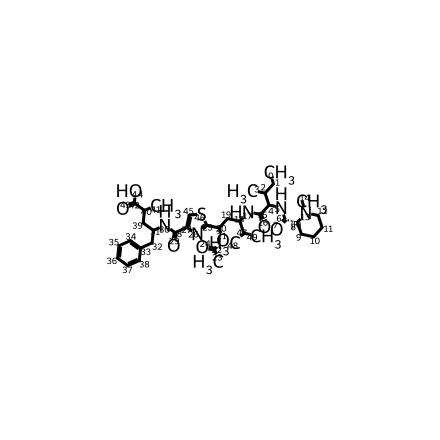 CCC(C)C(NC(=O)[C@H]1CCCCN1C)C(=O)NC(CC(OC(C)=O)c1nc(C(=O)NC(Cc2ccccc2)CC(C)C(=O)O)cs1)C(C)C